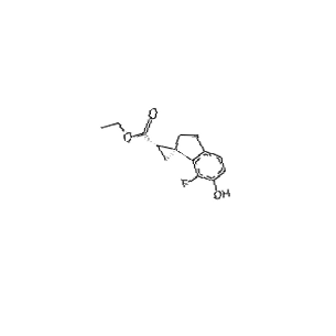 CCOC(=O)[C@H]1C[C@@]12CCc1ccc(O)c(F)c12